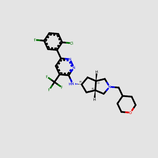 Fc1ccc(Cl)c(-c2cc(C(F)(F)F)c(N[C@@H]3C[C@@H]4CN(CC5CCOCC5)C[C@@H]4C3)nn2)c1